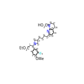 CCOC(=O)CC(c1ccc(OC)c(F)c1)N1CC(CCCCc2ccc3c(n2)N(C(=O)O)CCC3)C1